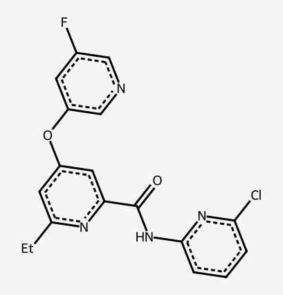 CCc1cc(Oc2cncc(F)c2)cc(C(=O)Nc2cccc(Cl)n2)n1